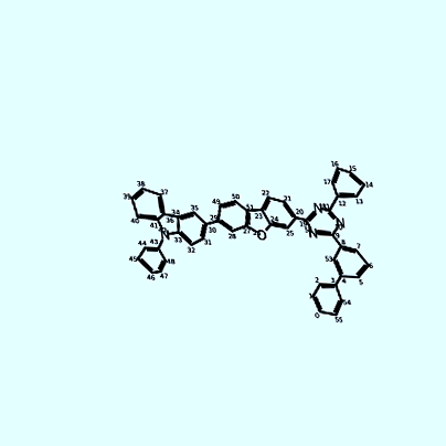 c1ccc(-c2cccc(-c3nc(-c4ccccc4)nc(-c4ccc5c(c4)oc4cc(-c6ccc7c(c6)c6ccccc6n7-c6ccccc6)ccc45)n3)c2)cc1